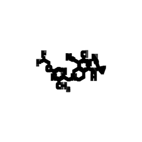 Cc1nc(OCC(F)F)cnc1CN1CCc2c(NC3(C#N)CC3)nc(Cl)c(C#N)c2C1